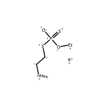 CCCCCCCCSP([O-])(=S)OCC.[K+]